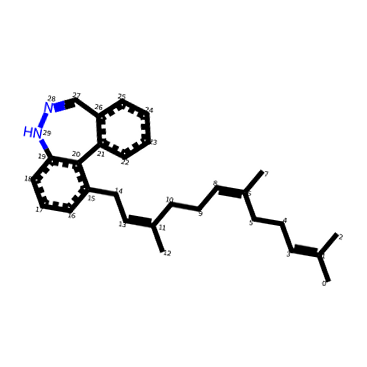 CC(C)=CCCC(C)=CCCC(C)=CCc1cccc2c1-c1ccccc1C=NN2